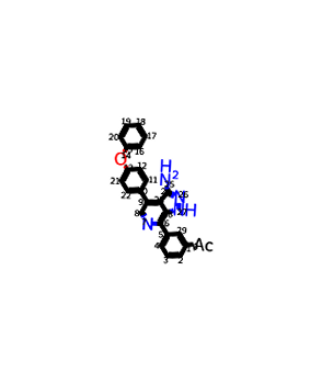 CC(=O)c1cccc(-c2ncc(-c3ccc(Oc4ccccc4)cc3)c3c(N)n[nH]c23)c1